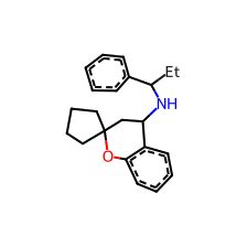 CCC(NC1CC2(CCCC2)Oc2ccccc21)c1ccccc1